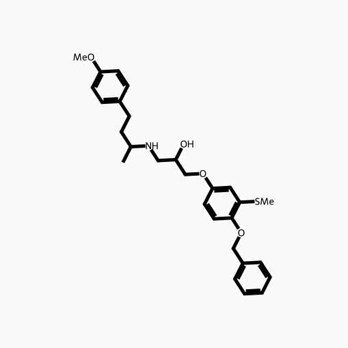 COc1ccc(CCC(C)NCC(O)COc2ccc(OCc3ccccc3)c(SC)c2)cc1